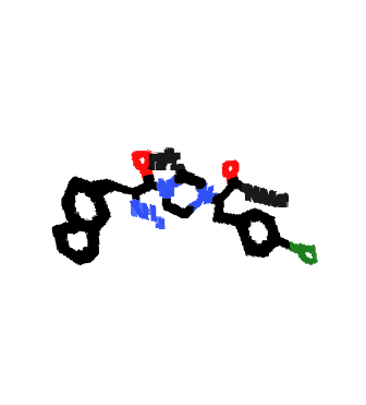 CCCC1CN(C(Cc2ccc(Cl)cc2)C(=O)NC)CCN1C(=O)C(N)Cc1ccc2ccccc2c1